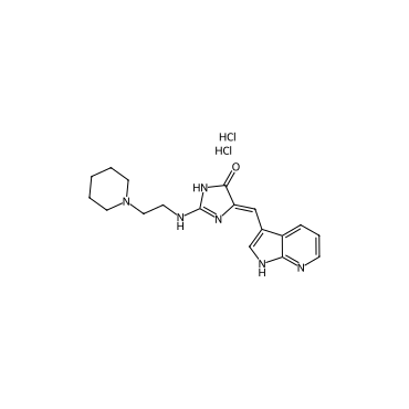 Cl.Cl.O=C1NC(NCCN2CCCCC2)=NC1=Cc1c[nH]c2ncccc12